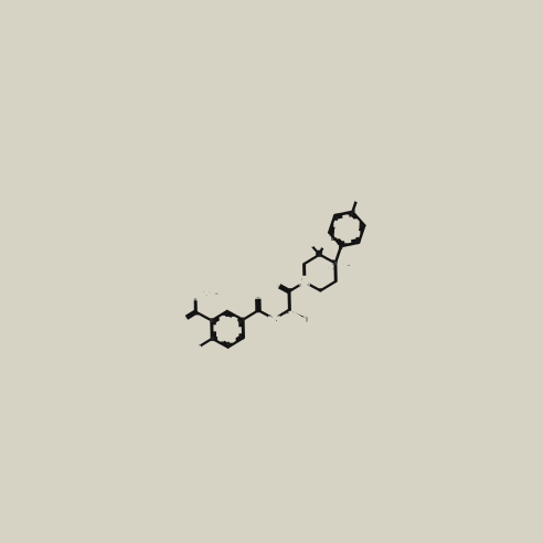 COC(=O)c1cc(C(=O)N[C@@H](C(=O)N2CC[C@](O)(c3ccc(Cl)cc3)C(C)(C)C2)C(C)C)ccc1C(C)C